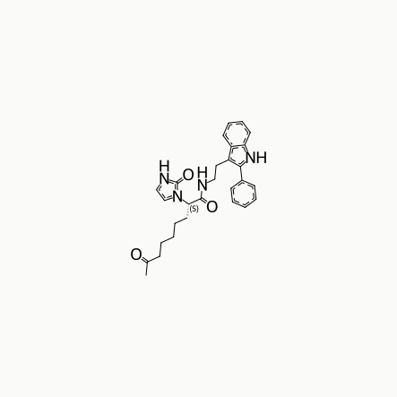 CC(=O)CCCCC[C@@H](C(=O)NCCc1c(-c2ccccc2)[nH]c2ccccc12)n1cc[nH]c1=O